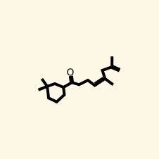 C=C(C)CC(C)=CCCC(=O)C1CCCC(C)(C)C1